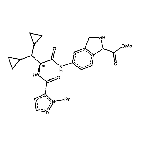 COC(=O)C1NCc2cc(NC(=O)[C@@H](NC(=O)c3ccnn3C(C)C)C(C3CC3)C3CC3)ccc21